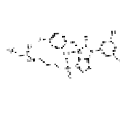 CCC(=O)NCCCCS(=O)(=O)c1cnc2n1[C@](C)(Cc1ccc(Br)cc1)C(=O)N2c1cc(Cl)cc(Cl)c1